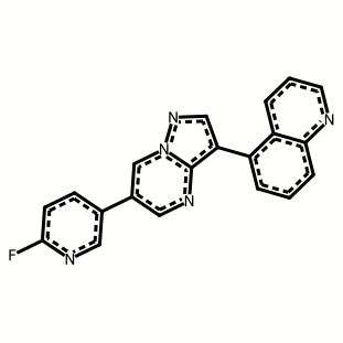 Fc1ccc(-c2cnc3c(-c4cccc5ncccc45)cnn3c2)cn1